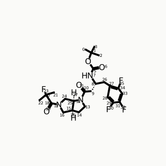 CC(C)(C)OC(=O)N[C@@H](CC(=O)N1CC[C@H]2CN(C(=O)C(C)(C)F)C[C@H]21)Cc1cc(F)c(F)cc1F